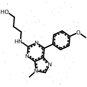 COc1ccc(-c2nc(NCCCO)nc3c2ncn3C)cc1